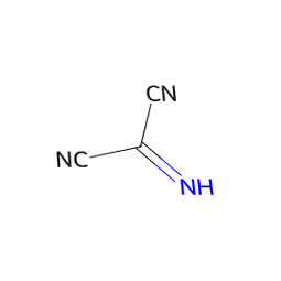 N#CC(=N)C#N